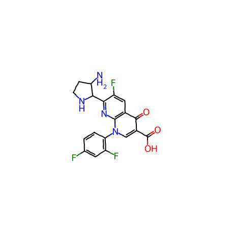 NC1CCNC1c1nc2c(cc1F)c(=O)c(C(=O)O)cn2-c1ccc(F)cc1F